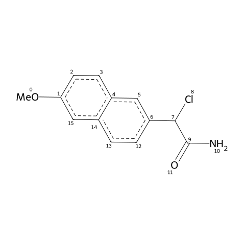 COc1ccc2cc(C(Cl)C(N)=O)ccc2c1